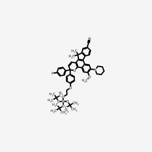 COc1cc2c3c(c4c(c2cc1N1CCCCC1)-c1ccc(C#N)cc1C4(C)C)C=CC(c1ccc(F)cc1)(c1ccc(OCCO[Si](OC(C)(C)C)(OC(C)(C)C)OC(C)(C)C)cc1)O3